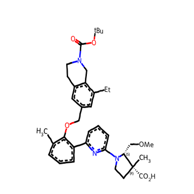 CCc1cc(COc2c(C)cccc2-c2cccc(N3CC[C@@](C)(C(=O)O)[C@H]3COC)n2)cc2c1CN(C(=O)OC(C)(C)C)CC2